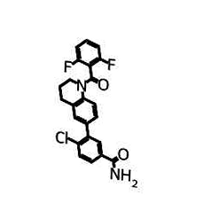 NC(=O)c1ccc(Cl)c(-c2ccc3c(c2)CCCN3C(=O)c2c(F)cccc2F)c1